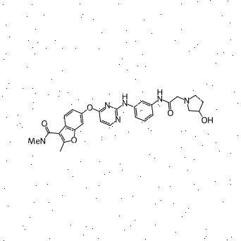 CNC(=O)c1c(C)oc2cc(Oc3ccnc(Nc4cccc(NC(=O)CN5CCC(O)C5)c4)n3)ccc12